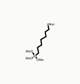 CCCCCCCCCCCCCCC[CH2][Sn]([O]C)([O]C)[O]C